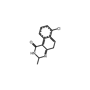 CC1N=C2CC=c3c(Cl)cccc3=C2C(=O)N1